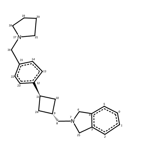 c1ccc2c(c1)CN(C[C@H]1C[C@H](c3ccc(CN4CCCC4)cc3)C1)C2